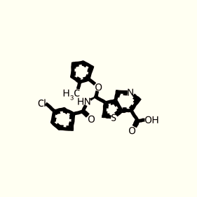 Cc1ccccc1O[C@H](NC(=O)c1cccc(Cl)c1)c1csc2c(C(=O)O)cncc12